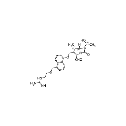 C[C@@H](O)[C@H]1C(=O)N2C(C=O)=C(COc3cccc4c(CSCCNC(=N)N)cccc34)[C@H](C)[C@H]12